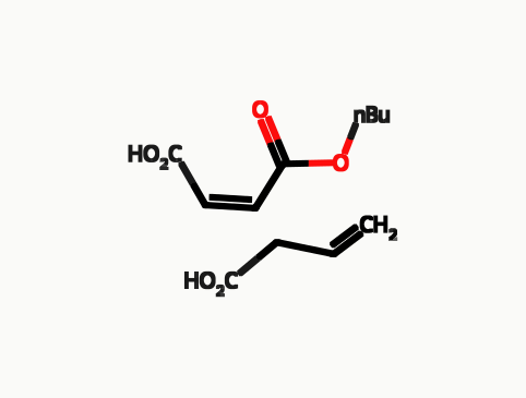 C=CCC(=O)O.CCCCOC(=O)/C=C\C(=O)O